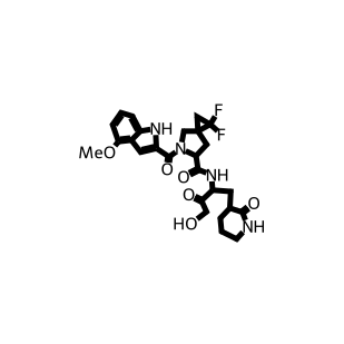 COc1cccc2[nH]c(C(=O)N3CC4(CC3C(=O)NC(CC3CCCNC3=O)C(=O)CO)CC4(F)F)cc12